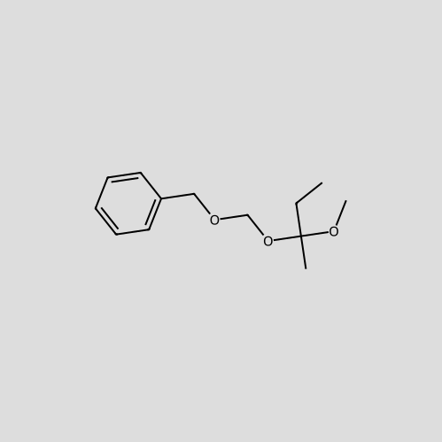 CCC(C)(OC)OCOCc1ccccc1